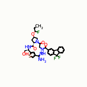 C=CC(F)O[C@@H]1C[C@@H](C(=O)N[C@H](CO)c2cc(C(=N)N)cs2)N(C(=O)CNC(=O)c2ccc3c(c2)-c2ccccc2C3(F)F)C1